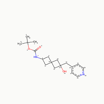 CC(C)(C)OC(=O)NC1CC2(C1)CC(O)(Cc1ccncc1)C2